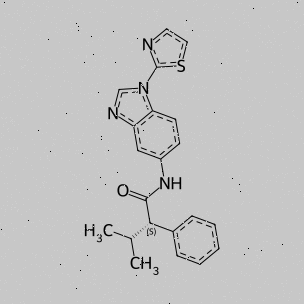 CC(C)[C@H](C(=O)Nc1ccc2c(c1)ncn2-c1nccs1)c1ccccc1